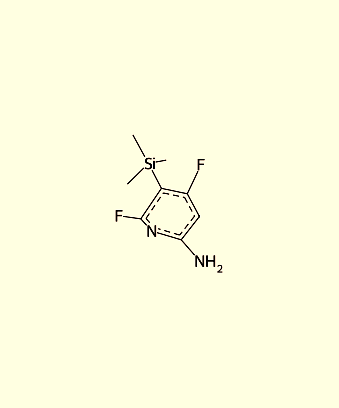 C[Si](C)(C)c1c(F)cc(N)nc1F